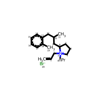 C=CC[N+]1(CCC)CCCC1CC(C)Cc1ccccc1C.[Br-]